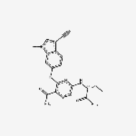 CC[C@@H](Nc1nnc(C(N)=O)c(Nc2ccc3c(C#N)cn(C)c3c2)n1)C(N)=O